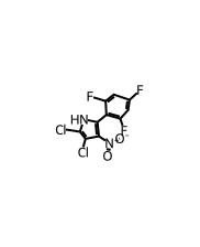 O=[N+]([O-])c1c(-c2c(F)cc(F)cc2F)[nH]c(Cl)c1Cl